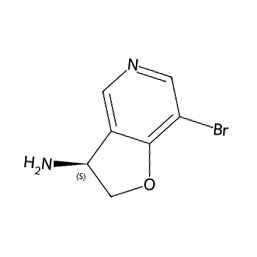 N[C@@H]1COc2c(Br)cncc21